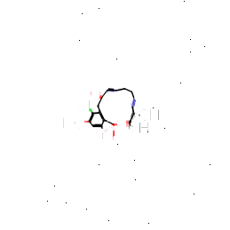 Cc1cc(O)c(Cl)c2c1C(=O)O[C@H](C)[C@@H](C)/C=C/CC/C=C/C(=O)C2